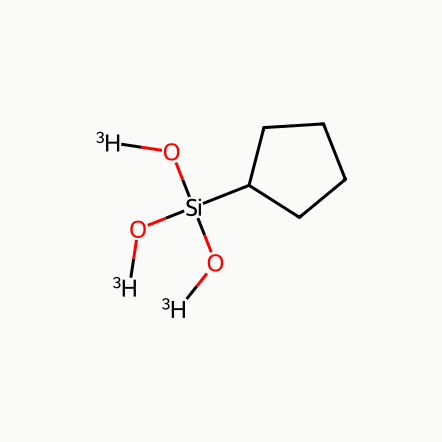 [3H]O[Si](O[3H])(O[3H])C1CCCC1